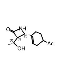 CC(=O)C1CC=C([C@H]2NC(=O)[C@@H]2[C@@H](C)O)CC1